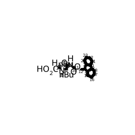 CCCC[C@@H](C(=O)O)N(CCCC)C[C@@H](C)NC(=O)OCC1c2ccccc2-c2ccccc21